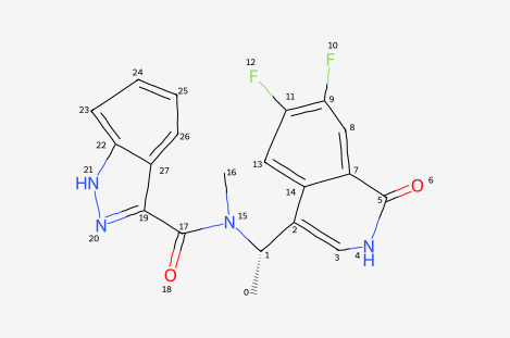 C[C@@H](c1c[nH]c(=O)c2cc(F)c(F)cc12)N(C)C(=O)c1n[nH]c2ccccc12